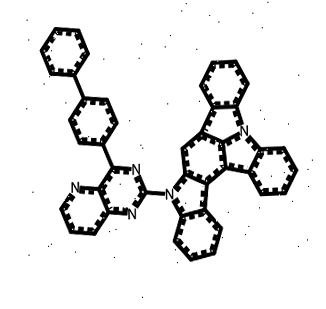 c1ccc(-c2ccc(-c3nc(-n4c5ccccc5c5c6c7ccccc7n7c8ccccc8c(cc54)c67)nc4cccnc34)cc2)cc1